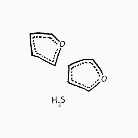 S.c1ccoc1.c1ccoc1